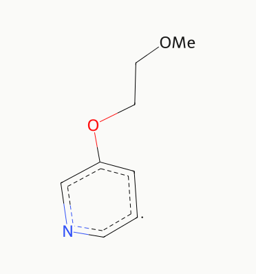 COCCOc1c[c]cnc1